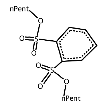 CCCCCOS(=O)(=O)c1ccccc1S(=O)(=O)OCCCCC